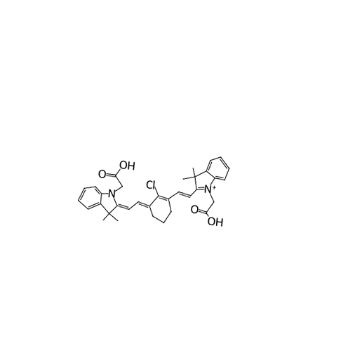 CC1(C)C(=CC=C2CCCC(C=CC3=[N+](CC(=O)O)c4ccccc4C3(C)C)=C2Cl)N(CC(=O)O)c2ccccc21